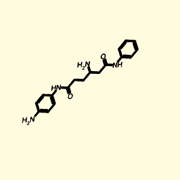 Nc1ccc(NC(=O)CCC(N)CC(=O)Nc2ccccc2)cc1